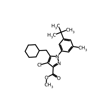 COC(=O)c1nn(-c2cc(C)cc(C(C)(C)C)c2)c(CC2CCCCC2)c1Cl